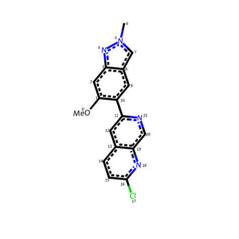 COc1cc2nn(C)cc2cc1-c1cc2ccc(Cl)nc2cn1